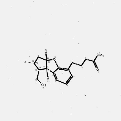 COC(=O)CCCc1cccc2c1O[C@H]1C[C@@H](C)[C@H](CO)[C@@H]21